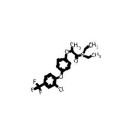 CCN(CC)C(=O)C(C)Oc1ccc(Oc2ccc(C(F)(F)F)cc2Cl)cc1